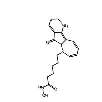 O=C(CCCCCN1C=CC=CC2=C3NCSC=C3C(=O)C21)NO